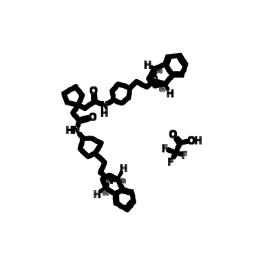 O=C(CC1(CC(=O)NC2CCC(CCN3[C@@H]4CC[C@H]3c3ccccc34)CC2)CCCC1)NC1CCC(CCN2[C@@H]3CC[C@H]2c2ccccc23)CC1.O=C(O)C(F)(F)F